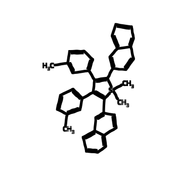 Cc1cccc(C2=C(c3ccc4ccccc4c3)[Si](C)(C)C(c3ccc4ccccc4c3)=C2c2cccc(C)c2)c1